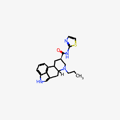 CCCN1C[C@H](C(=O)Nc2nccs2)CC2c3cccc4[nH]cc(c34)C[C@H]21